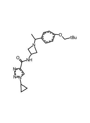 CC(c1ccc(OCC(C)(C)C)cc1)N1CC(NC(=O)c2cn(C3CC3)nn2)C1